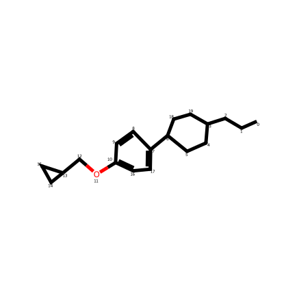 CCCC1CCC(c2ccc(OCC3CC3)cc2)CC1